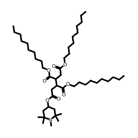 CCCCCCCCCCOC(=O)CC(C(=O)OCCCCCCCCCC)C(CC(=O)OC1CC(C)(C)N(C)C(C)(C)C1)C(=O)OCCCCCCCCCC